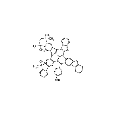 CC(C)(C)c1ccc(N2B3c4cc5c(cc4-n4c6cc7c(cc6c6c8c(sc9ccccc98)c(c3c64)-c3cc4sc6ccccc6c4cc32)C(C)(C)CCC7(C)C)C(C)(C)c2ccccc2-5)cc1